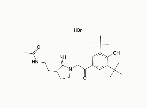 Br.CC(=O)NCCC1CCN(CC(=O)c2cc(C(C)(C)C)c(O)c(C(C)(C)C)c2)C1=N